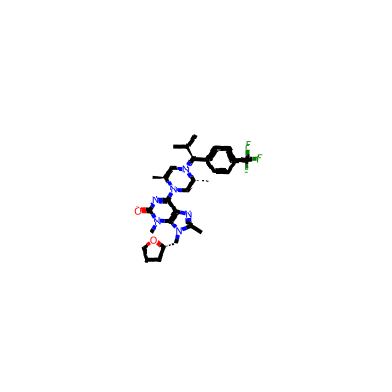 Cc1nc2c(N3C[C@@H](C)N([C@H](c4ccc(C(F)(F)F)cc4)C(C)C)C[C@@H]3C)nc(=O)n(C)c2n1C[C@@H]1CCCO1